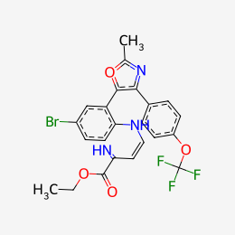 CCOC(=O)C(=N)/C=C\Nc1ccc(Br)cc1-c1oc(C)nc1-c1ccc(OC(F)(F)F)cc1